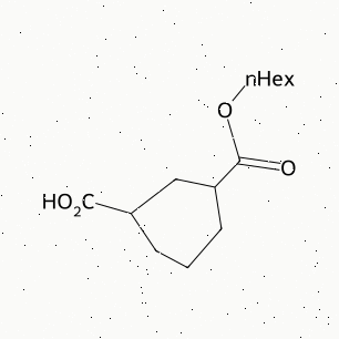 CCCCCCOC(=O)C1CCCC(C(=O)O)C1